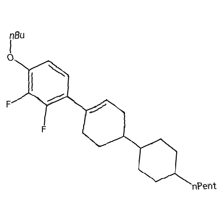 CCCCCC1CCC(C2CC=C(c3ccc(OCCCC)c(F)c3F)CC2)CC1